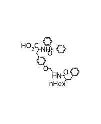 CCCCCCC(Cc1ccccc1)C(=O)NCCCOc1ccc(CC(Nc2ccccc2C(=O)c2ccccc2)C(=O)O)cc1